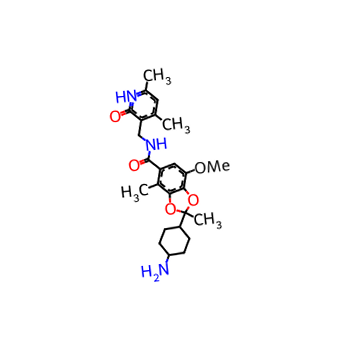 COc1cc(C(=O)NCc2c(C)cc(C)[nH]c2=O)c(C)c2c1OC(C)(C1CCC(N)CC1)O2